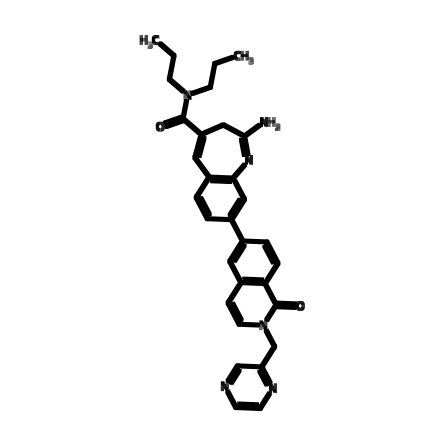 CCCN(CCC)C(=O)C1=Cc2ccc(-c3ccc4c(=O)n(Cc5cnccn5)ccc4c3)cc2N=C(N)C1